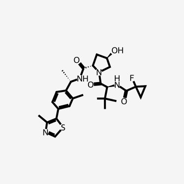 Cc1cc(-c2scnc2C)ccc1[C@H](C)NC(=O)[C@@H]1C[C@@H](O)CN1C(=O)[C@@H](NC(=O)C1(F)CC1)C(C)(C)C